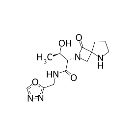 C[C@@H](O)[C@@H](C(=O)NCc1nnco1)N1CC2(CCCN2)C1=O